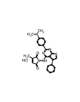 CC1=CC(=O)N(Nc2nc(-c3ccc(N(C)C)cc3)nc3scc(-c4ccccc4)c23)C1=O.Cl